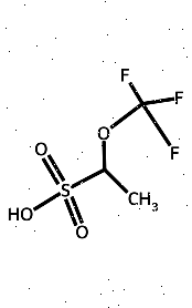 CC(OC(F)(F)F)S(=O)(=O)O